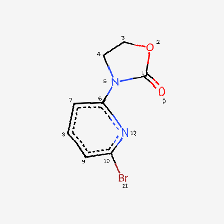 O=C1OCCN1c1cccc(Br)n1